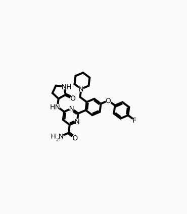 NC(=O)c1cc(NC2CCNC2=O)nc(-c2ccc(Oc3ccc(F)cc3)cc2CN2CCCCC2)n1